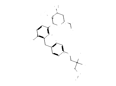 COCC(C)(F)COc1ccc(Cc2cc([C@@H]3O[C@H](CO)C[C@H](O)[C@H]3O)ccc2Cl)cc1